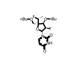 CCCCOC[C@@]1([C@@H](C)F)O[C@@H](n2ccc(=O)[nH]c2=O)[C@H](F)[C@@H]1OCCCC